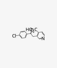 O=C(Cc1cnccc1C(=O)O)c1ccc(Cl)cc1